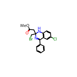 COC(=O)CC1(CBr)N=C(c2ccccc2)c2cc(Cl)ccc2N1